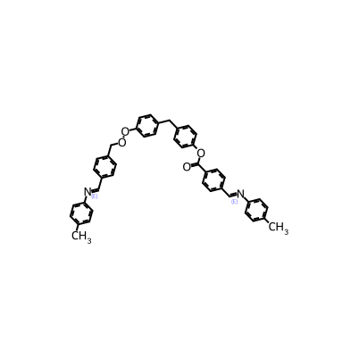 Cc1ccc(/N=C/c2ccc(COOc3ccc(Cc4ccc(OC(=O)c5ccc(/C=N/c6ccc(C)cc6)cc5)cc4)cc3)cc2)cc1